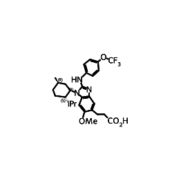 COc1cc2c(cc1CCC(=O)O)nc(Nc1ccc(OC(F)(F)F)cc1)n2[C@@H]1C[C@H](C)CC[C@H]1C(C)C